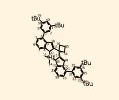 CC(C)(C)c1cc(-c2cccc3c2C=C2[CH]3[Hf]([CH3])([CH3])[CH]3C(=Cc4c(-c5cc(C(C)(C)C)cc(C(C)(C)C)c5)cccc43)C23CCC3)cc(C(C)(C)C)c1